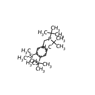 CC(C)(C)P(Cc1ccc([Si](C)(C)C)c([Si](C)(C)C)c1)C(C)(C)C